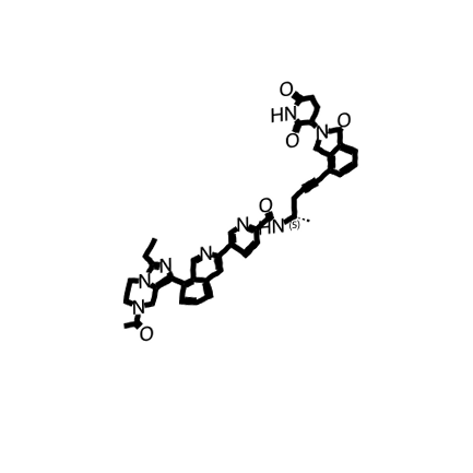 CCc1nc(-c2cccc3cc(-c4ccc(C(=O)N[C@@H](C)CC#Cc5cccc6c5CN(C5CCC(=O)NC5=O)C6=O)nc4)ncc23)c2n1CCN(C(C)=O)C2